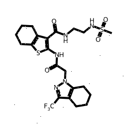 CS(=O)(=O)NCCNC(=O)c1c(NC(=O)Cn2nc(C(F)(F)F)c3c2CCCC3)sc2c1CCCC2